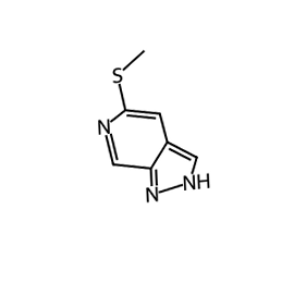 CSc1cc2c[nH]nc2cn1